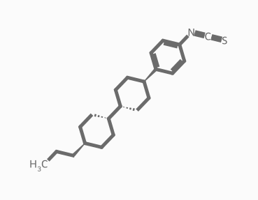 CCC[C@H]1CC[C@H]([C@H]2CC[C@H](c3ccc(N=C=S)cc3)CC2)CC1